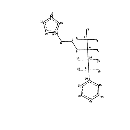 CC(C)(C)C(C)(CCCn1ccnc1)C(C)(C)C(C)(C)c1ccccc1